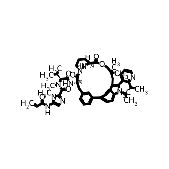 C=CC(=O)Nc1cnc(C(=O)N(C)[C@H](C(=O)N[C@H]2Cc3cccc(c3)-c3ccc4c(c3)c(c(-c3cccnc3C(C)C)n4CC)CC(C)(C)COC(=O)[C@@H]3CCCN(N3)C2=O)C(C)C)n1C